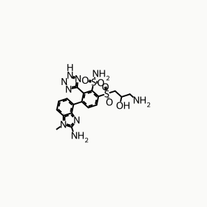 Cn1c(N)nc2c(-c3ccc(S(=O)(=O)CC(O)CN)c(S(N)(=O)=O)c3-c3nn[nH]n3)cccc21